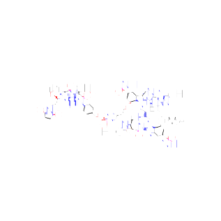 CCc1nc(C)sc1C(=O)Nc1nc2cc(C(N)=O)cc(OC)c2n1C/C=C/Cn1c2nc(-c3nc(C)nn3CC)ncc2c2cc(C(N)=O)cc(OCCC3CN(C(=O)OCc4ccc(NC(=O)[C@H](C)NC(=O)[C@@H](NC(=O)CCN5C(=O)C=CC5=O)C(C)C)cc4)C3)c21